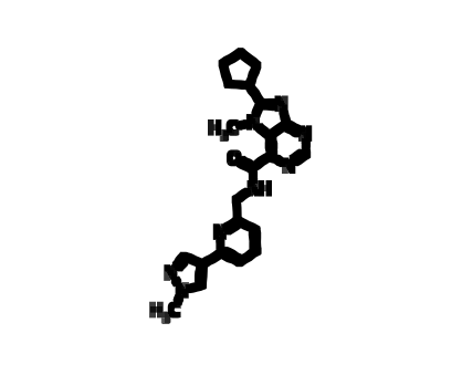 Cn1cc(-c2cccc(CNC(=O)c3ncnc4nc(C5CCCC5)n(C)c34)n2)cn1